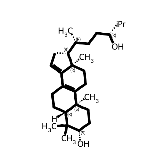 CC(C)[C@H](O)CC[C@@H](C)[C@H]1CC=C2C3=C(CC[C@@]21C)[C@@]1(C)CC[C@H](O)C(C)(C)[C@@H]1CC3